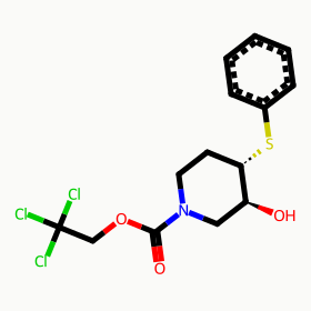 O=C(OCC(Cl)(Cl)Cl)N1CC[C@H](Sc2ccccc2)[C@@H](O)C1